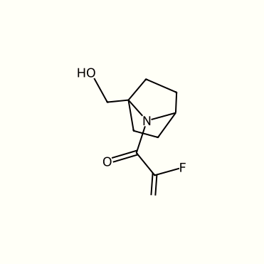 C=C(F)C(=O)N1C2CCC1(CO)CC2